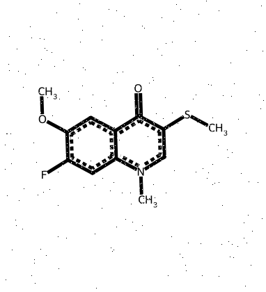 COc1cc2c(=O)c(SC)cn(C)c2cc1F